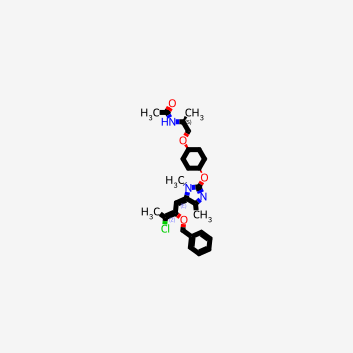 CC(=O)N[C@@H](C)CO[C@H]1CC[C@H](OC2=NC(C)/C(=C\C(OCc3ccccc3)=C(/C)Cl)N2C)CC1